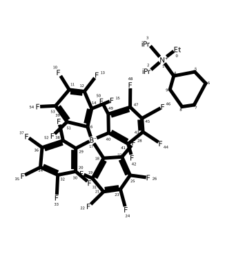 CC[N+](C(C)C)(C(C)C)C1CCCCC1.Fc1c(F)c(F)c([B-](c2c(F)c(F)c(F)c(F)c2F)(c2c(F)c(F)c(F)c(F)c2F)c2c(F)c(F)c(F)c(F)c2F)c(F)c1F